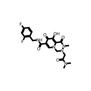 CN(C)C(=O)CN1Cn2cc(C(=O)NCc3ccc(F)cc3F)c(=O)c(O)c2C(=O)N1C